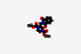 CC(C)(C)OC(=O)N1CCN(C(=O)OC(C)(C)C)[C@@H](CN2C(=O)c3ccccc3C2=O)C1